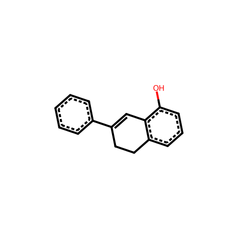 Oc1cccc2c1C=C(c1ccccc1)CC2